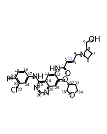 O=C(/C=C/CN1CCC1CO)Nc1cc2c(Nc3ccc(F)c(Cl)c3)ncnc2cc1O[C@H]1CCOC1